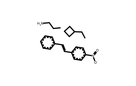 CCC1CCC1.CCCN.O=[N+]([O-])c1ccc(C=Cc2ccccc2)cc1